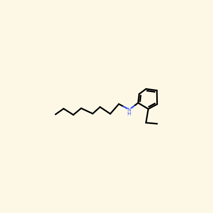 CCCCCCCCNc1ccccc1CC